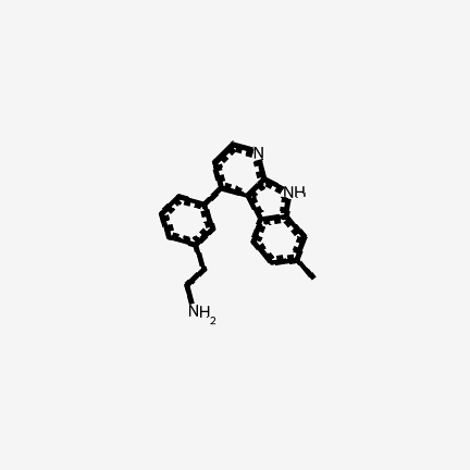 Cc1ccc2c(c1)[nH]c1nccc(-c3cccc(CCN)c3)c12